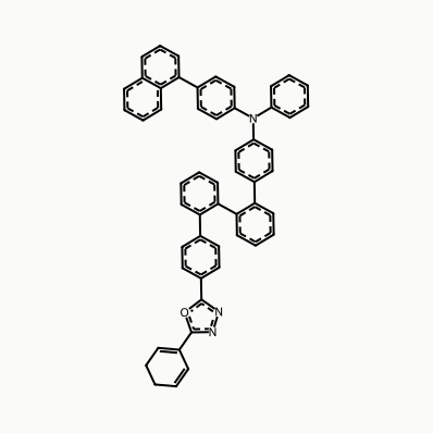 C1=CC(c2nnc(-c3ccc(-c4ccccc4-c4ccccc4-c4ccc(N(c5ccccc5)c5ccc(-c6cccc7ccccc67)cc5)cc4)cc3)o2)=CCC1